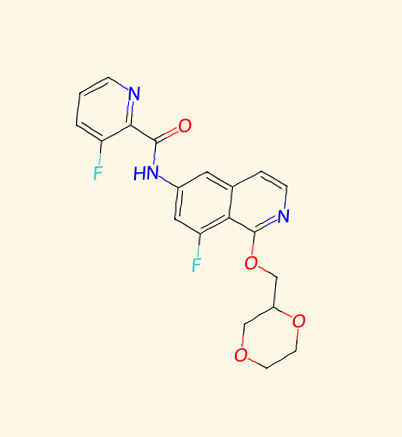 O=C(Nc1cc(F)c2c(OCC3COCCO3)nccc2c1)c1ncccc1F